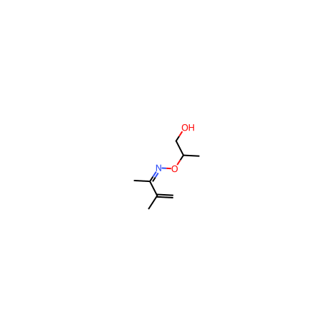 C=C(C)/C(C)=N\OC(C)CO